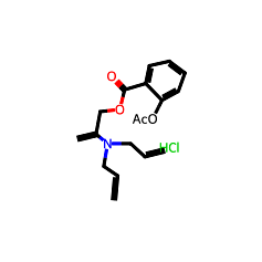 C=CCN(CC=C)C(=C)COC(=O)c1ccccc1OC(C)=O.Cl